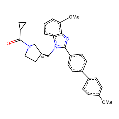 COc1ccc(-c2ccc(-c3nc4c(OC)cccc4n3C[C@H]3CCN(C(=O)C4CC4)C3)cc2)cc1